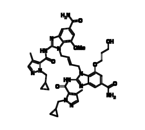 COc1cc(C(N)=O)cc2nc(NC(=O)c3c(C)cnn3CC3CC3)n(C/C=C/Cn3c(NC(=O)c4c(C)cnn4CC4CC4)nc4cc(C(N)=O)cc(OCCCO)c43)c12